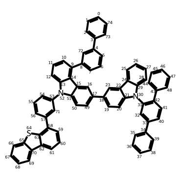 c1ccc(-c2cccc(-c3cccc4c3c3cc(-c5ccc6c(c5)c5ccccc5n6-c5cc(-c6ccccc6)ccc5-c5ccccc5)ccc3n4-c3cccc(-c4cccc5c4sc4ccccc45)c3)c2)cc1